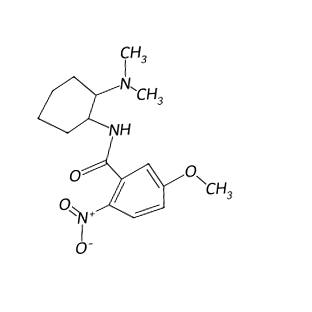 COc1ccc([N+](=O)[O-])c(C(=O)NC2CCCCC2N(C)C)c1